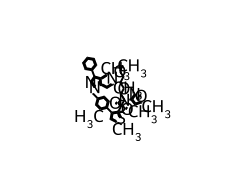 COCCOCN(c1noc(C)c1C)S(=O)(=O)c1sc(C)cc1-c1ccc(Cn2nc(-c3ccccc3)c3c(C)nc(C)cc32)cc1C